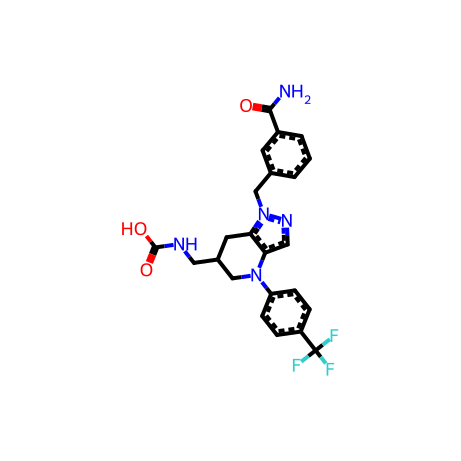 NC(=O)c1cccc(Cn2ncc3c2CC(CNC(=O)O)CN3c2ccc(C(F)(F)F)cc2)c1